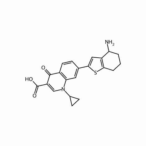 NC1CCCc2sc(-c3ccc4c(=O)c(C(=O)O)cn(C5CC5)c4c3)cc21